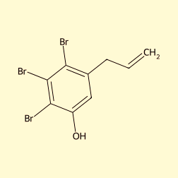 C=CCc1cc(O)c(Br)c(Br)c1Br